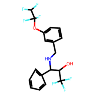 OC(C(NCc1cccc(OC(F)(F)C(F)F)c1)c1ccccc1)C(F)(F)F